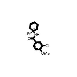 CC[C@]1(NC(=O)c2ccc(OC)c(Cl)c2)C=CC=CC1